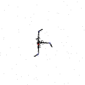 CCCCCC/C=C\CCCCCCCCOC(=O)CCOCC(COCCC(=O)OCCCCCCCC/C=C\CCCCCC)(COCCC(=O)OCCCCCCCC/C=C\CCCCCC)[N+](C)(C)C